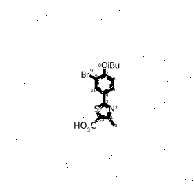 Cc1nc(-c2ccc(OCC(C)C)c(Br)c2)sc1C(=O)O